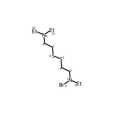 CCN(Br)CCSSCCN(CC)CC